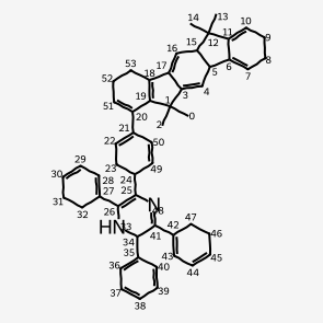 CC1(C)C2=CC3C4=CCCC=C4C(C)(C)C3C=C2C2=C1C(C1=CCC(C3=C(C4=CC=CCC4)NC(c4ccccc4)C(C4=CC=CCC4)=N3)C=C1)=CCC2